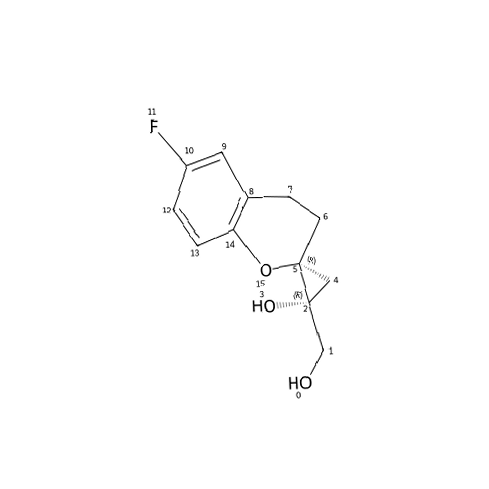 OC[C@]1(O)C[C@]12CCc1cc(F)ccc1O2